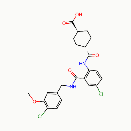 COc1cc(CNC(=O)c2cc(Cl)ccc2NC(=O)[C@H]2CC[C@H](C(=O)O)CC2)ccc1Cl